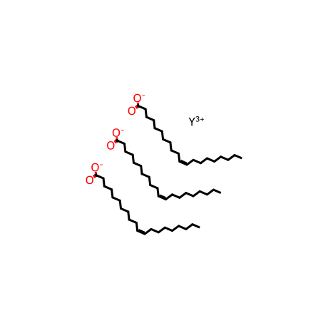 CCCCCCCC/C=C\CCCCCCCCCC(=O)[O-].CCCCCCCC/C=C\CCCCCCCCCC(=O)[O-].CCCCCCCC/C=C\CCCCCCCCCC(=O)[O-].[Y+3]